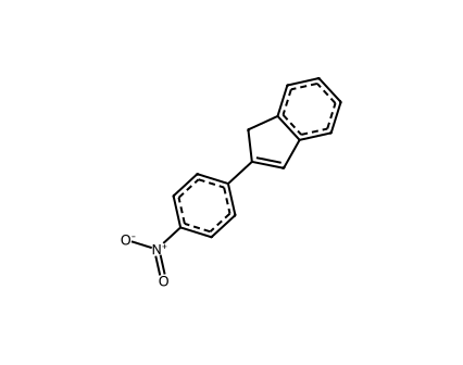 O=[N+]([O-])c1ccc(C2=Cc3ccccc3C2)cc1